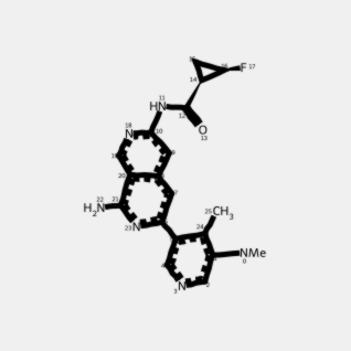 CNc1cncc(-c2cc3cc(NC(=O)[C@H]4C[C@H]4F)ncc3c(N)n2)c1C